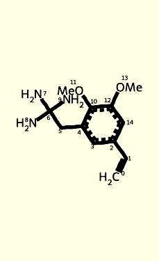 C=Cc1cc(CC(N)(N)N)c(OC)c(OC)c1